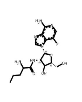 CCCC(N)C(=O)N[C@H]1C(O)[C@@H](CO)O[C@H]1n1cnc2c(N)ncc(F)c21